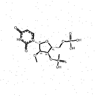 CO[C@@H]1[C@H](OP(C)(O)=S)[C@@H](COP(=O)(O)O)O[C@H]1n1ccc(=O)[nH]c1=O